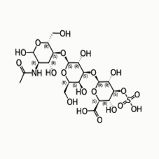 CC(=O)N[C@H]1C(O)O[C@H](CO)[C@@H](O[C@@H]2O[C@H](CO)[C@H](O)[C@H](O[C@@H]3O[C@H](C(=O)O)[C@@H](O)[C@H](OS(=O)(=O)O)[C@H]3O)[C@H]2O)[C@@H]1O